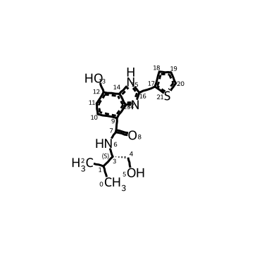 CC(C)[C@@H](CO)NC(=O)c1ccc(O)c2[nH]c(-c3cccs3)nc12